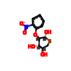 O=[N+]([O-])c1ccccc1O[C@@H]1[C@@H](O)[C@H](O)CS[C@H]1O